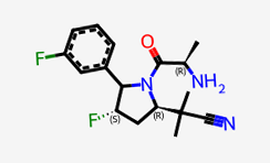 C[C@@H](N)C(=O)N1C(c2cccc(F)c2)[C@@H](F)C[C@@H]1C(C)(C)C#N